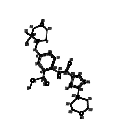 COC(=O)c1cc(CN2CCOCC2(C)C)ccc1NC(=O)c1csc(N2CCOCC2)n1